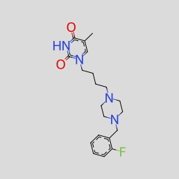 Cc1cn(CCCCN2CCN(Cc3ccccc3F)CC2)c(=O)[nH]c1=O